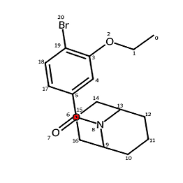 CCOc1cc(C(=O)N2C3CCCC2COC3)ccc1Br